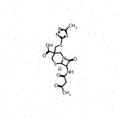 CC(=O)CC(=O)NC1C(=O)N2CC(CSc3nnc(C)s3)(C(=O)O)CS[C@H]12